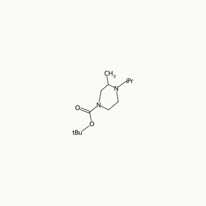 CC(C)N1CCN(C(=O)OC(C)(C)C)CC1C